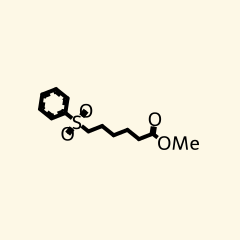 COC(=O)CCCCCS(=O)(=O)c1ccccc1